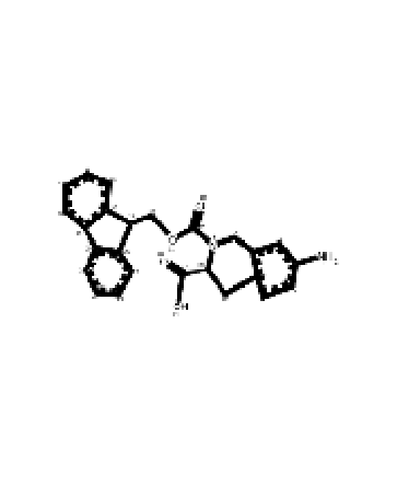 Nc1ccc2c(c1)CN(C(=O)OCC1c3ccccc3-c3ccccc31)[C@H](C(=O)O)C2